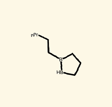 CCCCCB1BCCC1